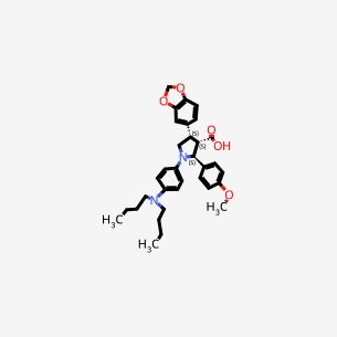 CCCCN(CCCC)c1ccc(N2C[C@H](c3ccc4c(c3)OCO4)[C@H](C(=O)O)[C@H]2c2ccc(OC)cc2)cc1